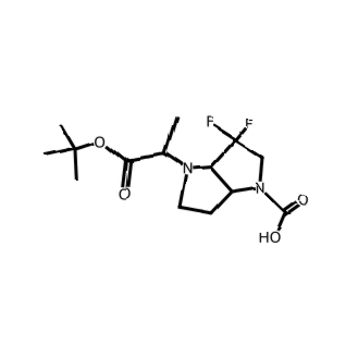 CC(C(=O)OC(C)(C)C)N1CCC2C1C(F)(F)CN2C(=O)O